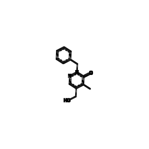 Cc1c(CO)cnn(Cc2ccccc2)c1=O